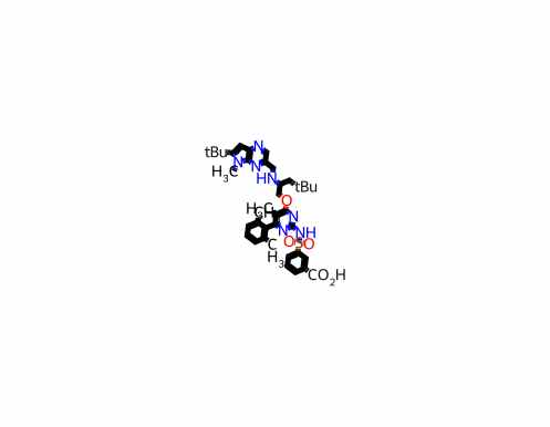 Cc1cccc(C)c1-c1nc(NS(=O)(=O)c2cccc(C(=O)O)c2)nc(OCC(CC(C)(C)C)NCc2cnc3cc(C(C)(C)C)n(C)c3n2)c1C